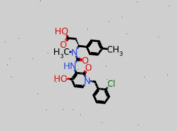 Cc1ccc([C@H](CC(=O)O)N(C)C(=O)Nc2c(O)ccn(Cc3ccccc3Cl)c2=O)cc1